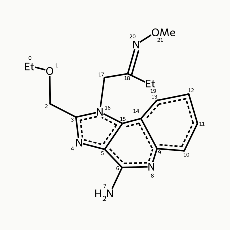 CCOCc1nc2c(N)nc3ccccc3c2n1CC(CC)=NOC